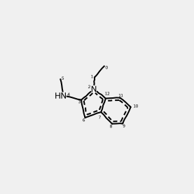 CCn1c(NC)cc2ccccc21